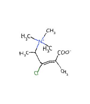 C/C(C(=O)[O-])=C(\Cl)C(C)[N+](C)(C)C